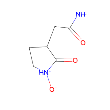 [NH]C(=O)CC1CC[NH+]([O-])C1=O